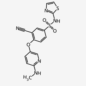 CNc1ccc(Oc2ccc(S(=O)(=O)Nc3nccs3)cc2C#N)cn1